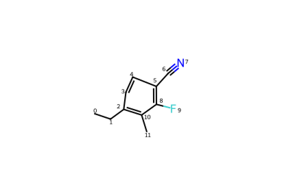 CCc1ccc(C#N)c(F)c1C